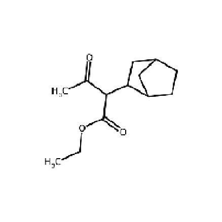 CCOC(=O)C(C(C)=O)C1CC2CCC1C2